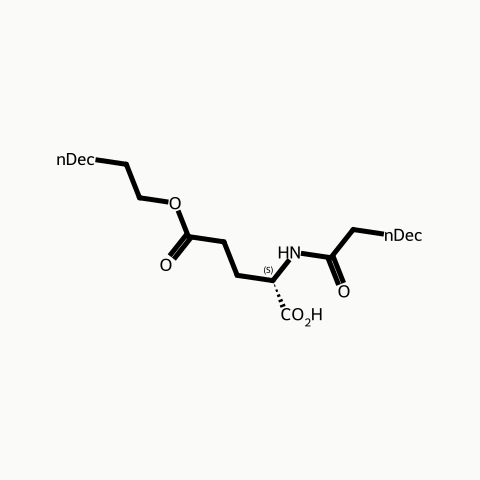 CCCCCCCCCCCCOC(=O)CC[C@H](NC(=O)CCCCCCCCCCC)C(=O)O